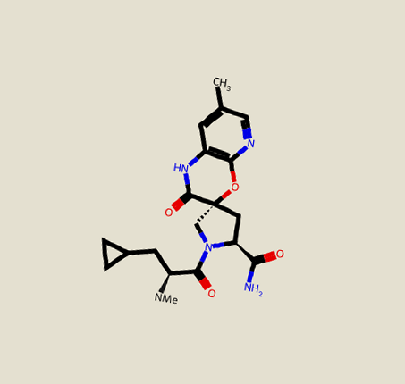 CN[C@@H](CC1CC1)C(=O)N1C[C@@]2(C[C@H]1C(N)=O)Oc1ncc(C)cc1NC2=O